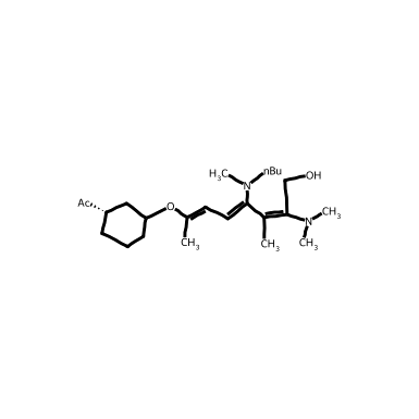 CCCCN(C)C(=C\C=C(/C)OC1CCC[C@H](C(C)=O)C1)/C(C)=C(\CO)N(C)C